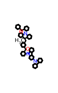 CC1(Cc2cccc(C(=O)c3ccccc3-n3c4ccccc4c4cc(-n5c6ccccc6c6ccccc65)ccc43)c2)c2ccccc2N(c2ccccc2C(=O)c2ccccc2)c2ccccc21